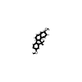 COc1ccc2c(c1)C(C)(C)c1c-2ccc2cc(OC)ccc12